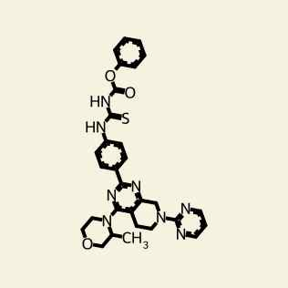 CC1COCCN1c1nc(-c2ccc(NC(=S)NC(=O)Oc3ccccc3)cc2)nc2c1CCN(c1ncccn1)C2